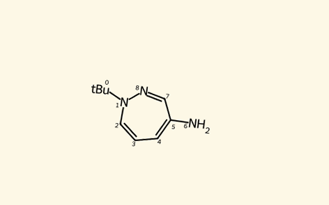 CC(C)(C)N1C=CC=C(N)C=N1